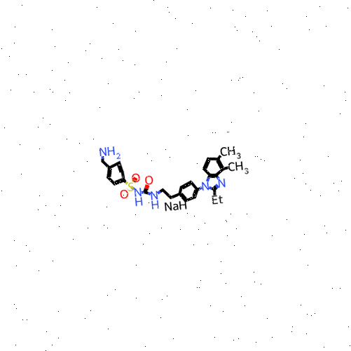 CCc1nc2c(C)c(C)ccc2n1-c1ccc(CCNC(=O)NS(=O)(=O)c2ccc(CN)cc2)cc1.[NaH]